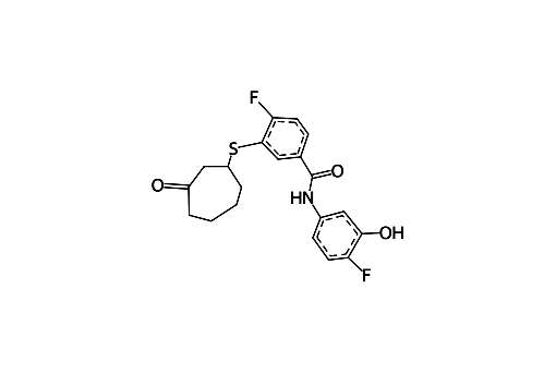 O=C1CCCCC(Sc2cc(C(=O)Nc3ccc(F)c(O)c3)ccc2F)C1